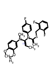 C=C(SCc1c(F)cccc1F)N(/C(=C\C)N(C)c1ccc(OC)c(OC)c1)c1ccc(F)cc1